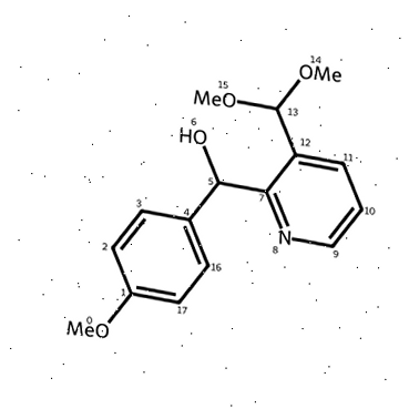 COc1ccc(C(O)c2ncccc2C(OC)OC)cc1